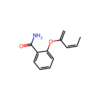 C=C(/C=C\C)Oc1ccccc1C(N)=O